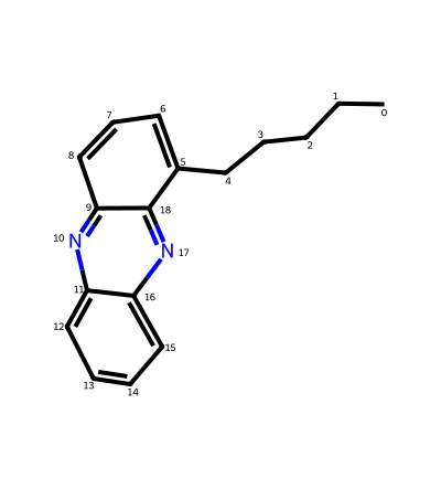 CCCCCc1cccc2nc3ccccc3nc12